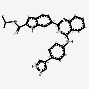 CC(C)NC(=O)c1cc2ccc(-c3nc(Nc4ccc(-c5cn[nH]c5)cc4)c4ccccc4n3)cc2[nH]1